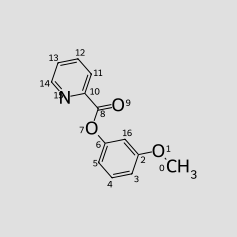 COc1cccc(OC(=O)c2ccccn2)c1